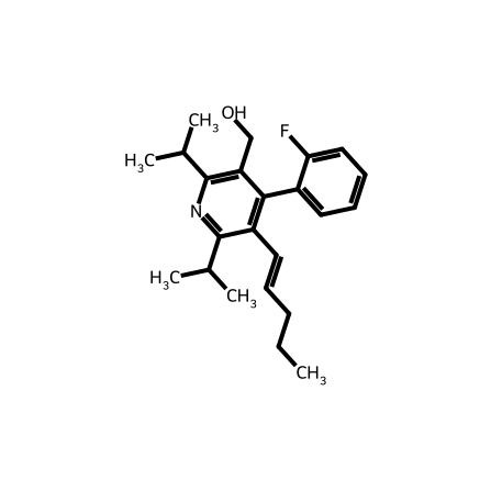 CCCC=Cc1c(C(C)C)nc(C(C)C)c(CO)c1-c1ccccc1F